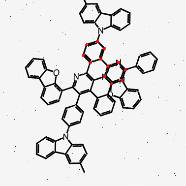 Cc1ccc2c(c1)c1ccccc1n2-c1ccc(-c2nc(-c3cccc4c3oc3ccccc34)c(-c3ccc(-n4c5ccccc5c5cc(C)ccc54)cc3)c(-c3ccccc3-c3nc(-c4ccccc4)nc(-c4ccccc4)n3)c2-c2cccc3c2oc2ccccc23)cc1